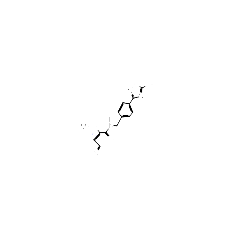 CO/C(=C/C=N)C(=O)NCc1ccc(-c2noc(C(F)(F)F)n2)cc1